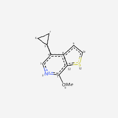 COc1ncc(C2CC2)c2ccsc12